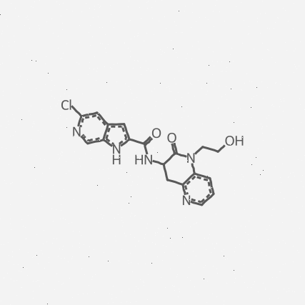 O=C(NC1Cc2ncccc2N(CCO)C1=O)c1cc2cc(Cl)ncc2[nH]1